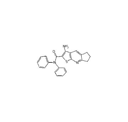 Nc1c(C(=O)N(c2ccccc2)c2ccccc2)sc2nc3c(cc12)CCC3